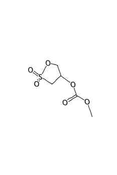 COC(=O)OC1COS(=O)(=O)C1